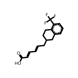 O=C(O)C=CC=CCC1CCc2c(cccc2C(F)(F)F)C1